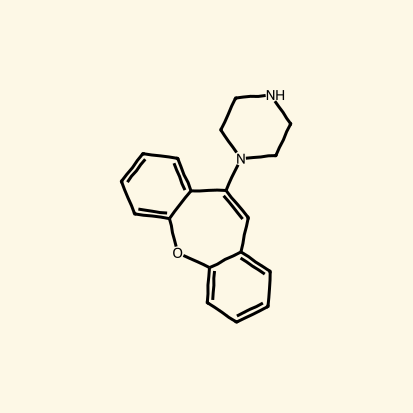 C1=C(N2CCNCC2)c2ccccc2Oc2ccccc21